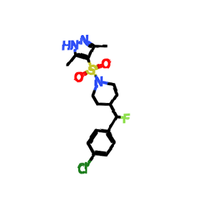 Cc1n[nH]c(C)c1S(=O)(=O)N1CCC(C(F)c2ccc(Cl)cc2)CC1